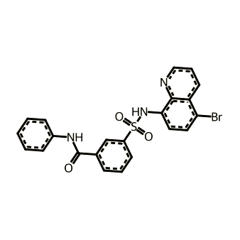 O=C(Nc1ccccc1)c1cccc(S(=O)(=O)Nc2ccc(Br)c3cccnc23)c1